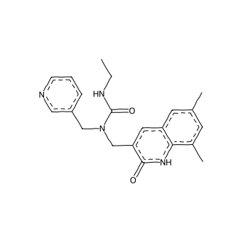 CCNC(=O)N(Cc1cccnc1)Cc1cc2cc(C)cc(C)c2[nH]c1=O